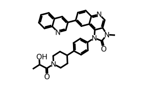 CC(O)C(=O)N1CCC(c2ccc(-n3c(=O)n(C)c4cnc5ccc(-c6cnc7ccccc7c6)cc5c43)cc2)CC1